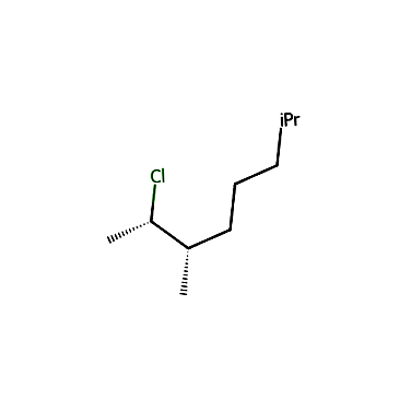 CC(C)CCC[C@H](C)[C@H](C)Cl